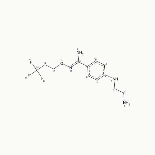 NCCNc1ccc(C(N)=NOCCC(F)(F)F)cc1